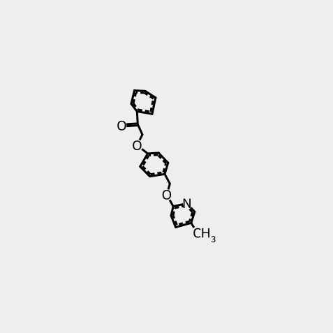 Cc1ccc(OCc2ccc(OCC(=O)c3ccccc3)cc2)nc1